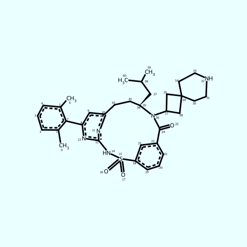 Cc1cccc(C)c1-c1cc2nc(n1)NS(=O)(=O)c1cccc(c1)C(=O)N(C1CC3(CCNCC3)C1)[C@H](CC(C)C)CC2